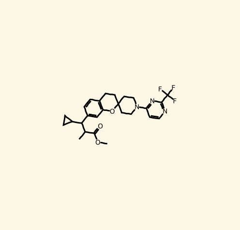 COC(=O)C(C)C(c1ccc2c(c1)OC1(CC2)CCN(c2ccnc(C(F)(F)F)n2)CC1)C1CC1